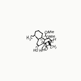 C=C1[C@H]2CC[C@]3(C(C2)[C@]2(C(OC)OC)CCCC(C)C2C[C@H]3O)[C@H]1O